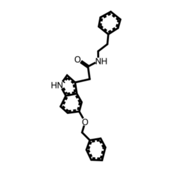 O=C(Cc1c[nH]c2ccc(OCc3ccccc3)cc12)NCCc1ccccc1